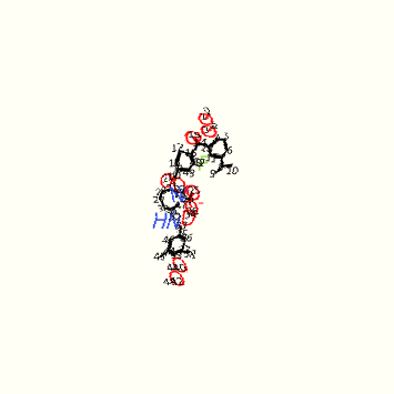 COCOc1ccc(C(C)C)c(F)c1C(=O)c1ccc(C(=O)O[N+]2(C(=O)[O-])CCCCC(NC(=O)c3cc(C)c(OCOC)c(C)c3)C2)cc1